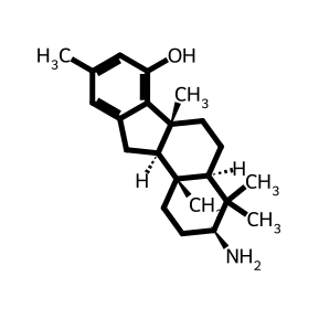 Cc1cc(O)c2c(c1)C[C@@H]1[C@@]3(C)CC[C@H](N)C(C)(C)[C@@H]3CC[C@@]21C